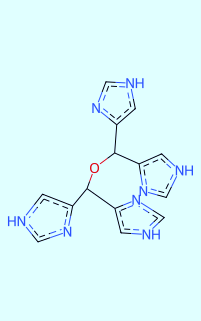 c1nc(C(OC(c2c[nH]cn2)c2c[nH]cn2)c2c[nH]cn2)c[nH]1